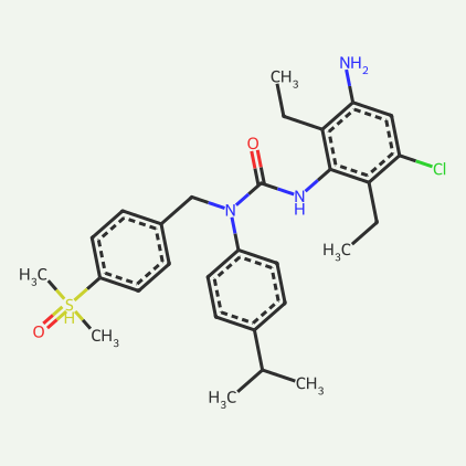 CCc1c(N)cc(Cl)c(CC)c1NC(=O)N(Cc1ccc([SH](C)(C)=O)cc1)c1ccc(C(C)C)cc1